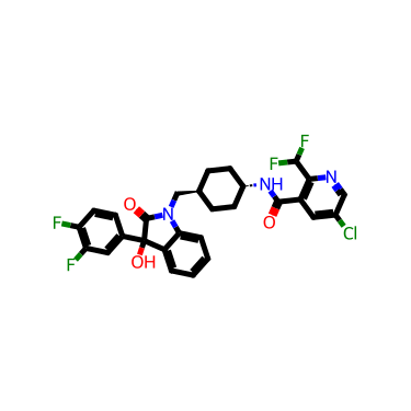 O=C(N[C@H]1CC[C@H](CN2C(=O)C(O)(c3ccc(F)c(F)c3)c3ccccc32)CC1)c1cc(Cl)cnc1C(F)F